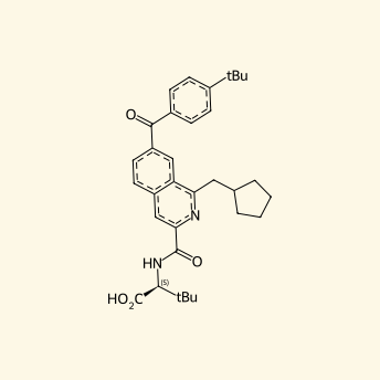 CC(C)(C)c1ccc(C(=O)c2ccc3cc(C(=O)N[C@H](C(=O)O)C(C)(C)C)nc(CC4CCCC4)c3c2)cc1